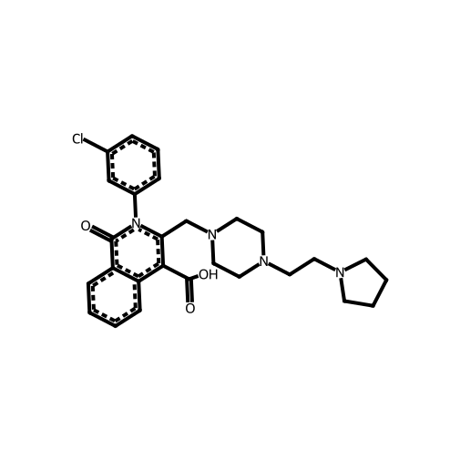 O=C(O)c1c(CN2CCN(CCN3CCCC3)CC2)n(-c2cccc(Cl)c2)c(=O)c2ccccc12